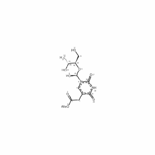 COC(=O)Cc1cn([C@@H](O)O[C@H](CO)[C@@H](C)O)c(=O)[nH]c1=O